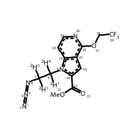 [2H]C([2H])(N=[N+]=[N-])C([2H])([2H])n1c(C(=O)OC)cc2c(OCC(F)(F)F)nccc21